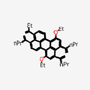 C=C(CC)c1ccc2c3c(OCC)cc(C(=C)CCC)c4c(C(=C)CCC)cc(OCC)c(c5ccc(C(=C)CCC)c1c25)c43